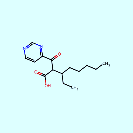 CCCCCC(CC)C(C(=O)O)C(=O)c1ccncn1